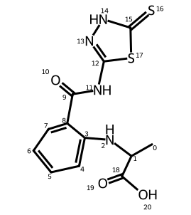 CC(Nc1ccccc1C(=O)Nc1n[nH]c(=S)s1)C(=O)O